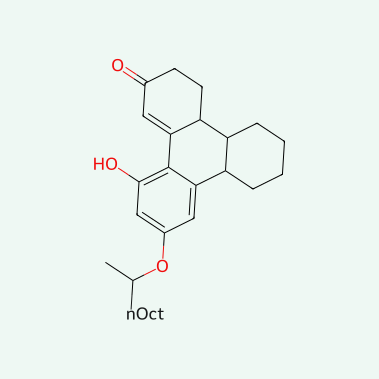 CCCCCCCCC(C)Oc1cc(O)c2c(c1)C1CCCCC1C1CCC(=O)C=C21